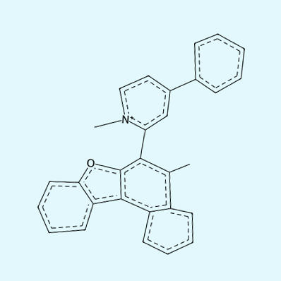 Cc1c(-c2cc(-c3ccccc3)cc[n+]2C)c2oc3ccccc3c2c2ccccc12